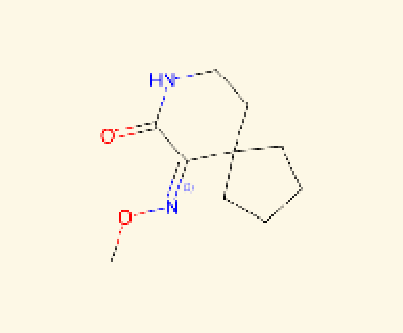 CO/N=C1\C(=O)NCCC12CCCC2